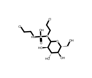 O=P(O)(NCCCl)N(CCCl)C1O[C@H](CO)[C@@H](O)[C@H](O)[C@H]1O